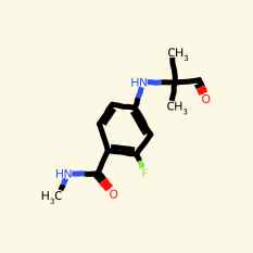 CNC(=O)c1ccc(NC(C)(C)C=O)cc1F